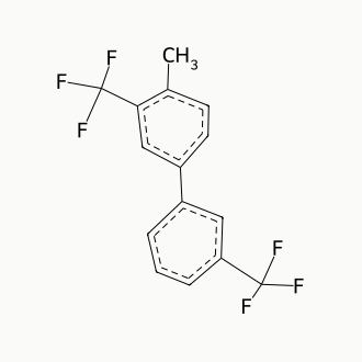 Cc1ccc(-c2cccc(C(F)(F)F)c2)cc1C(F)(F)F